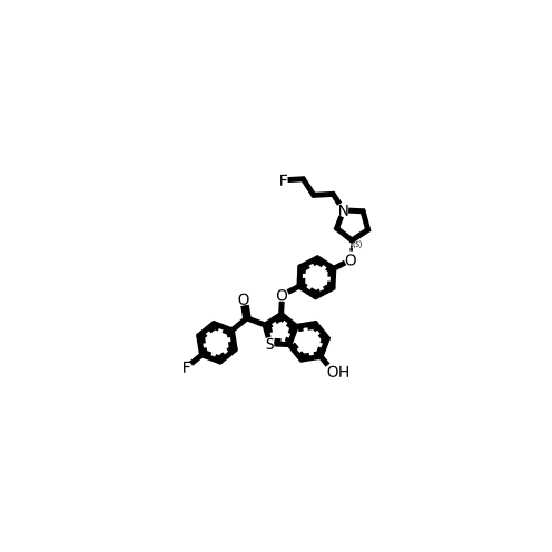 O=C(c1ccc(F)cc1)c1sc2cc(O)ccc2c1Oc1ccc(O[C@H]2CCN(CCCF)C2)cc1